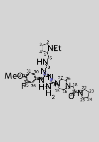 CCN1CCCC1CNC/N=C(\N=C(/N)N1CCN(CC(=O)N2CCCC2)CC1)Nc1ccc(OC)c(F)c1